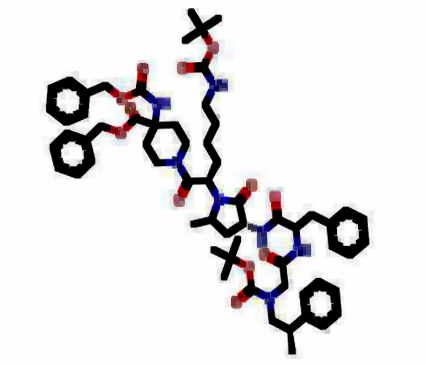 CC1C[C@@H](NC(=O)C(Cc2ccccc2)NC(=O)CN(C[C@H](C)c2ccccc2)C(=O)OC(C)(C)C)C(=O)N1[C@H](CCCCNC(=O)OC(C)(C)C)C(=O)N1CCC(NC(=O)OCc2ccccc2)(C(=O)OCc2ccccc2)CC1